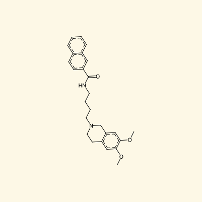 COc1cc2c(cc1OC)CN(CCCCNC(=O)c1ccc3ccccc3c1)CC2